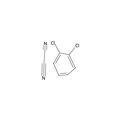 Clc1ccccc1Cl.N#CC#N